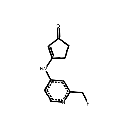 O=C1C=C(Nc2ccnc(CF)c2)CC1